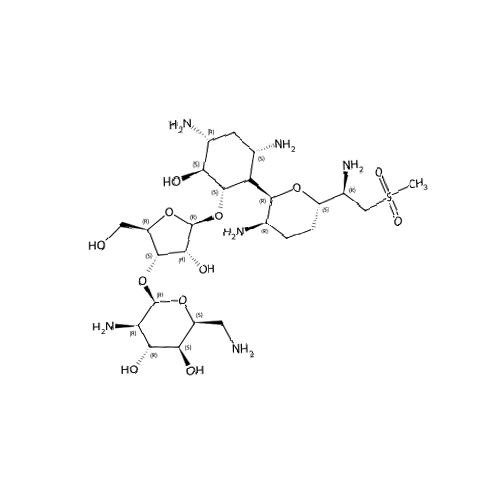 CS(=O)(=O)C[C@H](N)[C@@H]1CC[C@@H](N)[C@@H](C2[C@@H](N)C[C@@H](N)[C@H](O)[C@H]2O[C@@H]2O[C@H](CO)[C@@H](O[C@H]3O[C@@H](CN)[C@@H](O)[C@H](O)[C@H]3N)[C@H]2O)O1